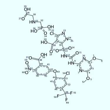 COc1cc(OC)nc(NC(=O)NS(=O)(=O)c2c(C(=O)O)c(Cl)nn2C)n1.O=C(O)CNCP(=O)(O)O.O=C(O)c1cc(Oc2ccc(C(F)(F)F)cc2Cl)ccc1[N+](=O)[O-]